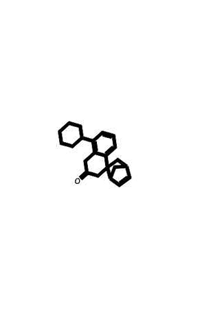 O=C1Cc2c(C3CCCCC3)cccc2C2(C1)CC1C=CC2C1